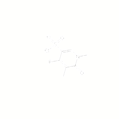 Cc1c(F)c(S(=O)(=O)Cl)cn(C)c1=O